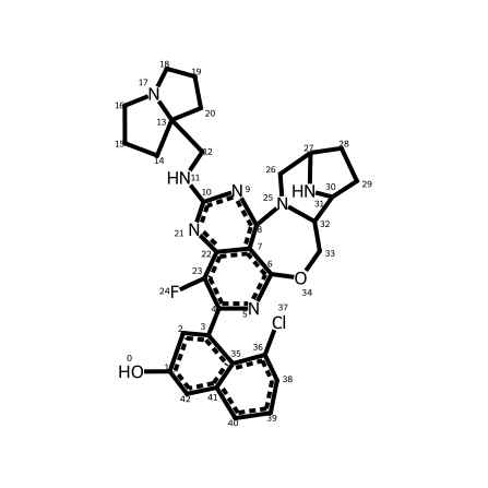 Oc1cc(-c2nc3c4c(nc(NCC56CCCN5CCC6)nc4c2F)N2CC4CCC(N4)C2CO3)c2c(Cl)cccc2c1